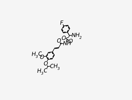 COc1cc(/C=C/C(=O)NS(=O)(=O)C(N)c2ccc(F)cc2)ccc1OC(C)C